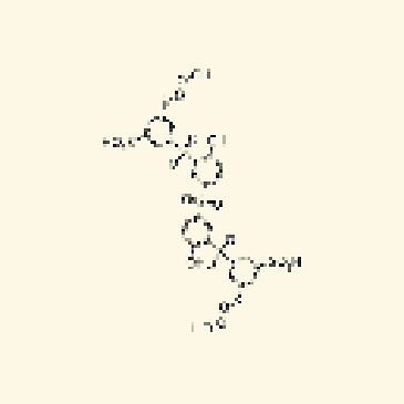 O=S(=O)(O)c1cc(SOOO)cc(S(=O)(=O)c2cc(S(=O)(=O)c3ccc(O)c(S(=O)(=O)c4cc(SOOO)cc(S(=O)(=O)O)c4)c3)ccc2O)c1